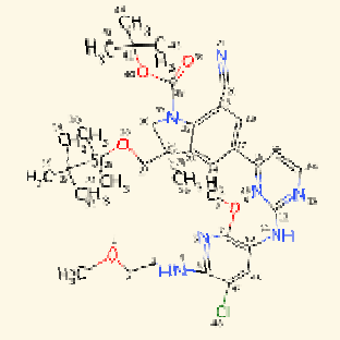 COCCNc1nc(OC)c(Nc2nccc(-c3cc(C#N)c4c(c3)[C@@](C)(CO[Si](C)(C)C(C)(C)C)CN4C(=O)OC(C)(C)C)n2)cc1Cl